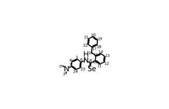 CN(C)c1ccc(NC(=[Se])c2ccccc2Cc2ccccc2)cc1